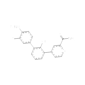 CC(=O)Nc1ccc(-c2cccc(-c3ccnc(C(N)=O)c3)c2O)cc1F